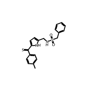 Cc1ccc(C(=S)c2ccc(CNS(=O)(=O)Cc3ccccc3)[nH]2)cc1